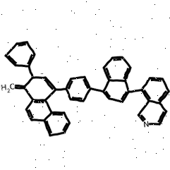 C=C1c2ccc3ccccc3c2C(c2ccc(-c3ccc(-c4cccc5ccncc45)c4ccccc34)cc2)=CC1c1ccccc1